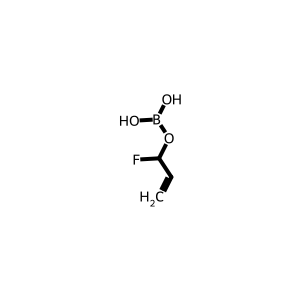 C=CC(F)OB(O)O